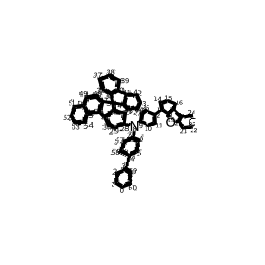 c1ccc(-c2ccc(N(c3ccc(-c4cccc5c4oc4ccccc45)cc3)c3ccc4c(c3)C3(c5ccccc5-c5ccccc53)c3ccc5ccccc5c3-4)cc2)cc1